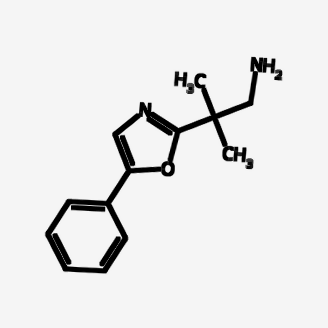 CC(C)(CN)c1ncc(-c2ccccc2)o1